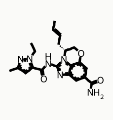 C/C=C/C[C@@H]1COc2cc(C(N)=O)cc3nc(NC(=O)c4cc(C)nn4CC)n1c23